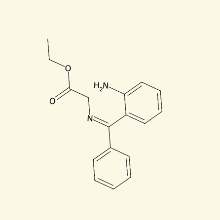 CCOC(=O)CN=C(c1ccccc1)c1ccccc1N